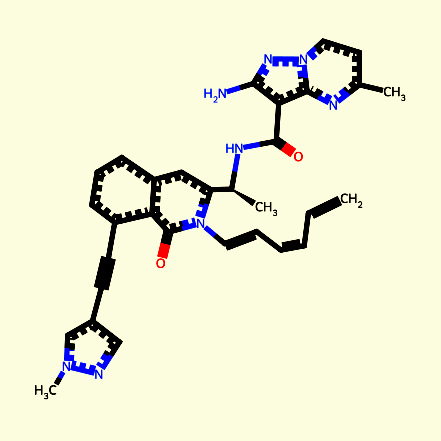 C=C/C=C\C=C\n1c([C@H](C)NC(=O)c2c(N)nn3ccc(C)nc23)cc2cccc(C#Cc3cnn(C)c3)c2c1=O